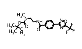 CN(CCNC(=O)c1ccc(-c2noc(C(F)(F)F)n2)cc1)C(=O)OC(C)(C)C